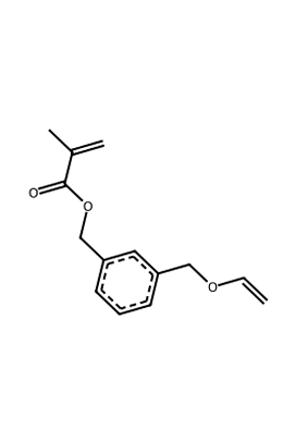 C=COCc1cccc(COC(=O)C(=C)C)c1